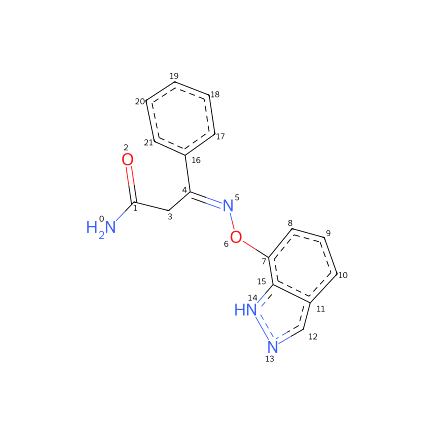 NC(=O)C/C(=N\Oc1cccc2cn[nH]c12)c1ccccc1